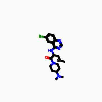 C[Se]CC(Nc1ncnc2ccc(Br)cc12)C(=O)N1CCC(N(C)C)CC1